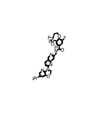 CC(C)c1cnc2c(c1)OCCN2c1ccc2cnc(CNC(=O)c3cc(F)c4c(c3)S(=O)(=O)[C@@H](F)CCO4)cc2n1